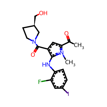 CC(=O)c1cc(C(=O)N2CC[C@@H](CO)C2)c(Nc2ccc(I)cc2F)n1C